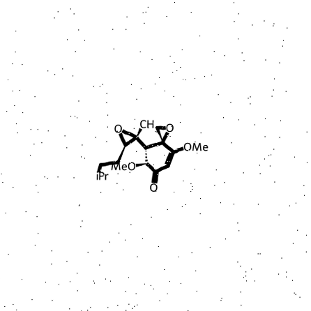 COC1=CC(=O)[C@@H](OC)[C@H]([C@@]2(C)O[C@@H]2CCC(C)C)[C@@]12CO2